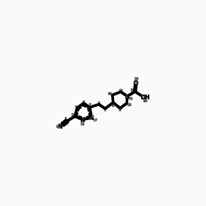 N#Cc1ccc(CCC2CCN(C(=O)O)CC2)nn1